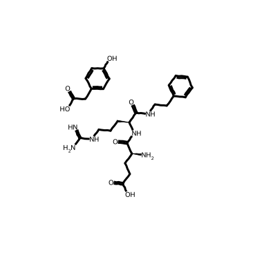 N=C(N)NCCC[C@H](NC(=O)[C@@H](N)CCC(=O)O)C(=O)NCCc1ccccc1.O=C(O)Cc1ccc(O)cc1